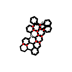 c1ccc(-n2c3ccccc3c3cccc(-c4ccccc4N(c4ccccc4-c4cccc5cccc(C6CCCCC6)c45)c4ccccc4-c4cccc5sc6ccccc6c45)c32)cc1